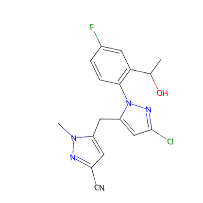 CC(O)c1cc(F)ccc1-n1nc(Cl)cc1Cc1cc(C#N)nn1C